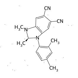 Cc1ccc(N2c3cc(C#N)c(C#N)cc3N(C)[C@@H]2C)c(C)c1